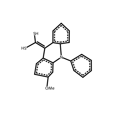 COc1ccc2c(c1)N(c1ccccc1)c1ccccc1C2=C(S)S